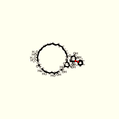 CC1/C=C/C=C/C=C/C=C/C=C/C=C/C=C/[C@H](OC2O[C@H](O)[C@@H](O)[C@H](N)[C@@H]2O)C[C@@H]2O[C@](O)(C[C@@H](O)C[C@@H](O)[C@H](O)CC[C@@H](O)C[C@@H](O)CC(=O)O[C@@H](C)[C@H](C)[C@@H]1O)C[C@H](O)[C@H]2C(=O)NCc1ccccc1